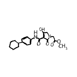 COC(=O)CN1CC(O)=C(C(=O)Nc2ccc(C3CCCCC3)cc2)C1=O